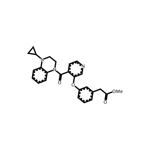 COC(=O)Cc1cccc(Oc2cnccc2C(=O)N2CCN(C3CC3)c3ccccc32)c1